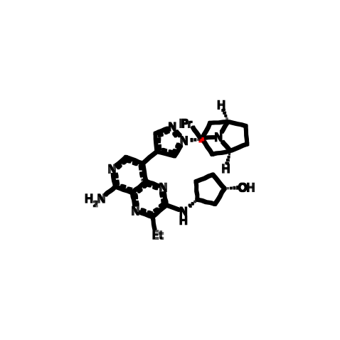 CCc1nc2c(N)ncc(-c3cnn([C@@H]4C[C@H]5CC[C@@H](C4)N5CC(C)C)c3)c2nc1N[C@@H]1CC[C@H](O)C1